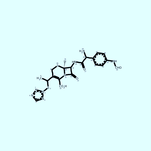 CC(Sn1ncnn1)C1=C(C(=O)O)N2C(=O)C(NC(=O)C(N)c3ccc(NC=O)cc3)[C@@H]2SC1